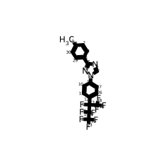 Cc1ccc(-c2ncn(-c3ccc(C(F)(C(F)(F)F)C(F)(F)C(F)(F)F)cc3)n2)cc1